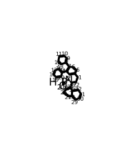 O=[PH2]N1c2c(ccc(-c3ccccc3)c2-c2ccccc2)CCC1c1cccc2ccccc12